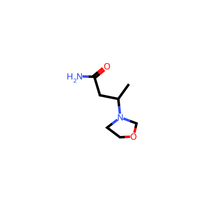 CC(CC(N)=O)N1CCOC1